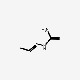 C=C(N)NN=CC